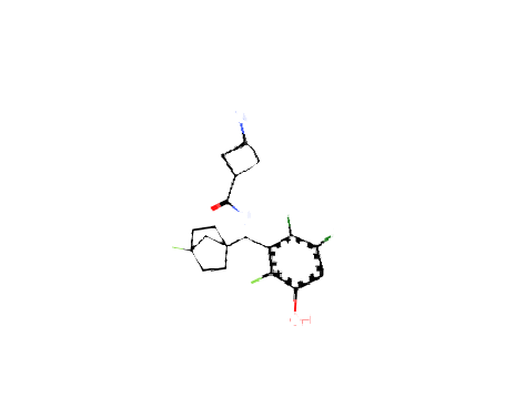 NC1CC(C(=O)N[C@H](c2c(F)c(O)cc(Cl)c2Cl)C23CCC(F)(CC2)C3)C1